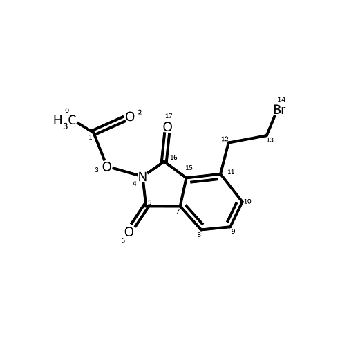 CC(=O)ON1C(=O)c2cccc(CCBr)c2C1=O